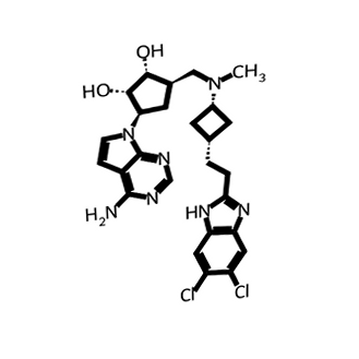 CN(C[C@H]1C[C@@H](n2ccc3c(N)ncnc32)[C@H](O)[C@@H]1O)[C@H]1C[C@@H](CCc2nc3cc(Cl)c(Cl)cc3[nH]2)C1